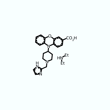 CCNCC.O=C(O)c1ccc2c(c1)Oc1ccccc1N2C1CCN(Cc2ncc[nH]2)CC1